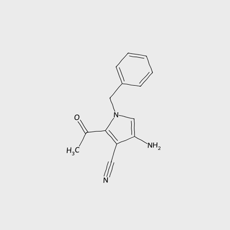 CC(=O)c1c(C#N)c(N)cn1Cc1ccccc1